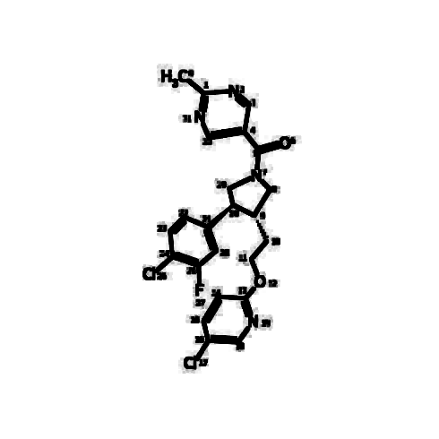 Cc1ncc(C(=O)N2C[C@H](CCOc3ccc(Cl)cn3)[C@@H](c3ccc(Cl)c(F)c3)C2)cn1